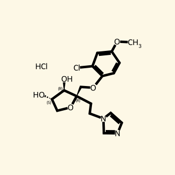 COc1ccc(OC[C@@]2(CCn3ccnc3)OC[C@H](O)[C@H]2O)c(Cl)c1.Cl